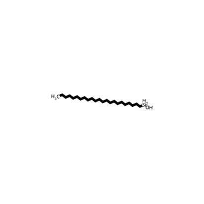 CCCCCCCCCCCCCCCCCCCCCCC[SiH2]O